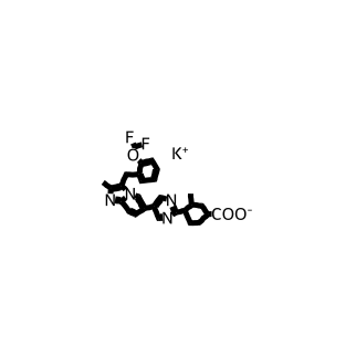 Cc1nc2ccc(-c3cnc(C4CCC(C(=O)[O-])CC4C)nc3)cn2c1Cc1ccccc1OC(F)F.[K+]